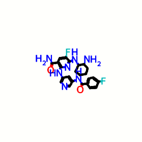 NC(=O)c1cc(F)c(NC2CCCC[C@@H]2N)nc1Nc1cncc(NC(=O)c2ccc(F)cc2)c1